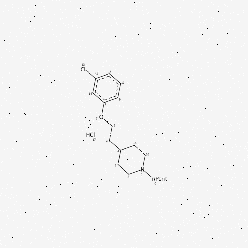 CCCCCN1CCC(CCOc2cccc(Cl)c2)CC1.Cl